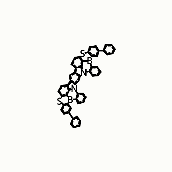 c1ccc(-c2ccc3c(c2)B2c4ccccc4-n4c5cc6c(cc5c5ccc(c2c54)S3)c2ccc3c4c2n6-c2ccccc2B4c2cc(-c4ccccc4)ccc2S3)cc1